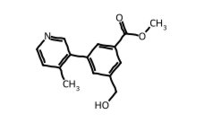 COC(=O)c1cc(CO)cc(-c2cnccc2C)c1